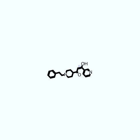 O=C(/C=C(/O)c1cccnc1)C1CCN(CCc2ccccc2)CC1